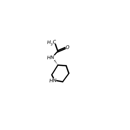 CC(=O)N[C@@H]1CCCNC1